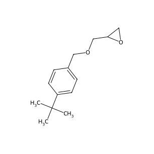 CC(C)(C)c1ccc(COCC2CO2)cc1